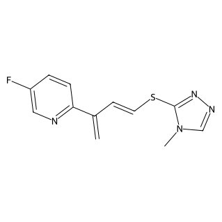 C=C(/C=C/Sc1nncn1C)c1ccc(F)cn1